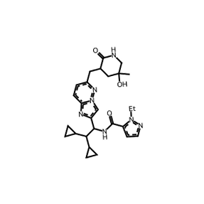 CCn1nccc1C(=O)NC(c1cn2nc(CC3CC(C)(O)CNC3=O)ccc2n1)C(C1CC1)C1CC1